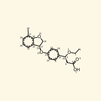 CCO[C@@H](CC(=O)O)c1ccc(O[C@@H]2COc3c(C)cccc32)cc1